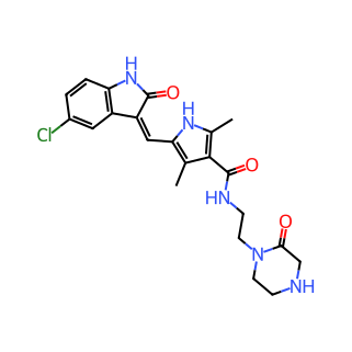 Cc1[nH]c(/C=C2\C(=O)Nc3ccc(Cl)cc32)c(C)c1C(=O)NCCN1CCNCC1=O